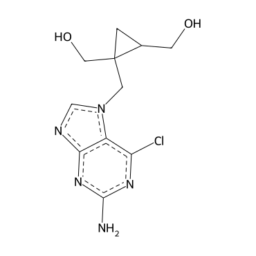 Nc1nc(Cl)c2c(ncn2CC2(CO)CC2CO)n1